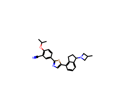 CC1CN(C2CCc3c(-c4cnc(-c5ccc(OC(C)C)c(C#N)c5)s4)cccc32)C1